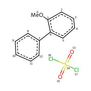 COc1ccccc1-c1ccccc1.O=S(=O)(Cl)Cl